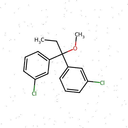 CCC(OC)(c1cccc(Cl)c1)c1cccc(Cl)c1